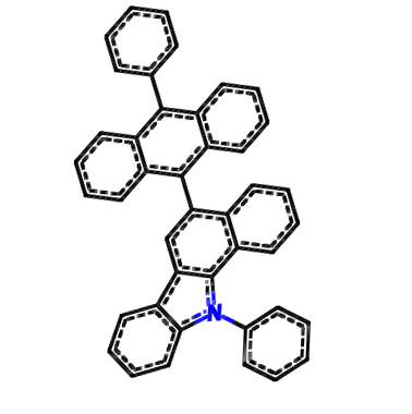 c1ccc(-c2c3ccccc3c(-c3cc4c5ccccc5n(-c5ccccc5)c4c4ccccc34)c3ccccc23)cc1